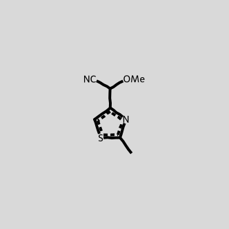 COC(C#N)c1csc(C)n1